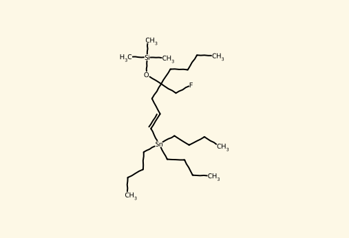 CCCCC(CF)(C/C=[CH]/[Sn]([CH2]CCC)([CH2]CCC)[CH2]CCC)O[Si](C)(C)C